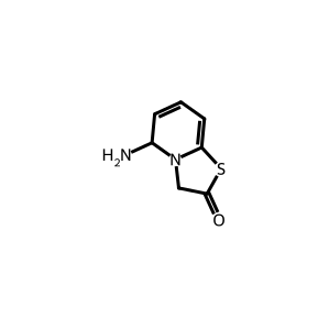 NC1C=CC=C2SC(=O)CN21